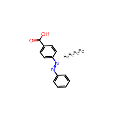 O=C(O)c1ccc(/N=N/c2ccccc2)cc1.[Fe].[Fe].[Fe].[Fe]